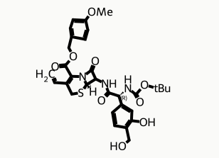 C=CC1=C(C(=O)OCc2ccc(OC)cc2)N2C(=O)C(NC(=O)[C@H](NC(=O)OC(C)(C)C)c3ccc(CO)c(O)c3)[C@@H]2SC1